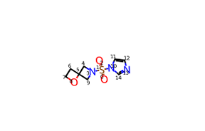 O=S(=O)(N1CC2(CCO2)C1)n1ccnc1